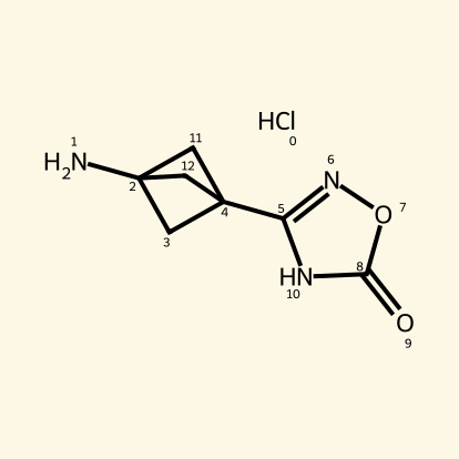 Cl.NC12CC(c3noc(=O)[nH]3)(C1)C2